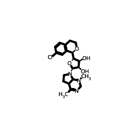 CC1=NCN(C)C2C1CCN2[C@@H]1O[C@H]([C@@H]2OCCc3ccc(Cl)cc32)[C@@H](O)[C@H]1O